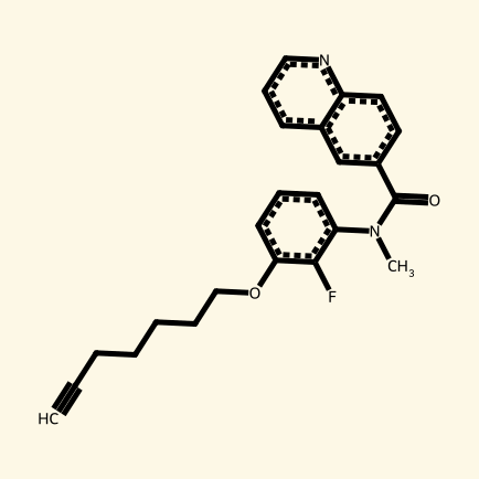 C#CCCCCCOc1cccc(N(C)C(=O)c2ccc3ncccc3c2)c1F